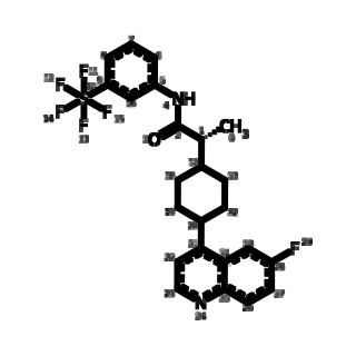 C[C@@H](C(=O)Nc1cccc(S(F)(F)(F)(F)F)c1)C1CCC(c2ccnc3ccc(F)cc23)CC1